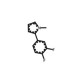 Cn1[c]ccc1-c1ccc(F)c(F)c1